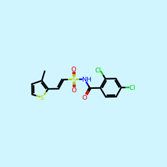 Cc1ccsc1C=CS(=O)(=O)NC(=O)c1ccc(Cl)cc1Cl